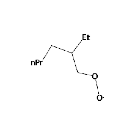 CCCCC(CC)CO[O]